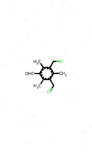 Cc1c(C=O)c(C)c(CCl)c(C)c1CCl